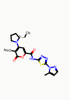 COc1c(N2CCC[C@@H]2CC#N)cc(C(=O)Nc2nnc(-n3nccc3C)s2)oc1=O